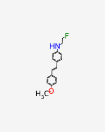 COc1ccc(/C=C/c2ccc(NCCF)cc2)cc1